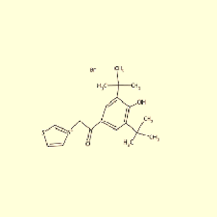 CC(C)(C)c1cc(C(=O)C[n+]2ccsc2)cc(C(C)(C)C)c1O.[Br-]